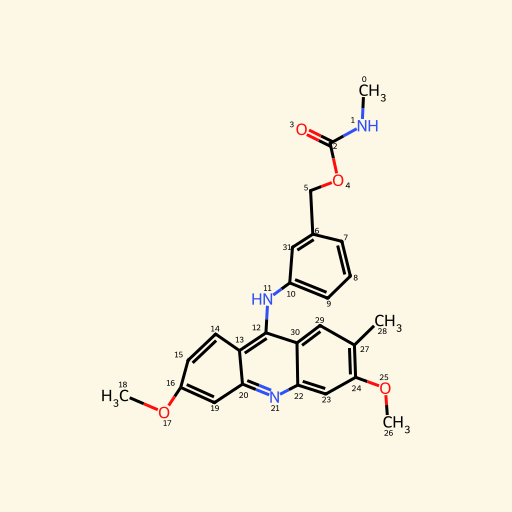 CNC(=O)OCc1cccc(Nc2c3ccc(OC)cc3nc3cc(OC)c(C)cc23)c1